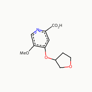 COc1cnc(C(=O)O)cc1OC1CCOC1